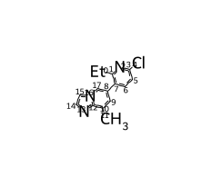 CCc1nc(Cl)ccc1-c1cc(C)c2nccn2c1